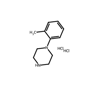 Cc1ccccc1N1CCNCC1.Cl.Cl